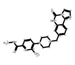 CNC(=O)c1ccc(N2CCN(Cc3ccc4c(c3)[nH]c(=O)n3ccnc43)CC2)c(C)n1